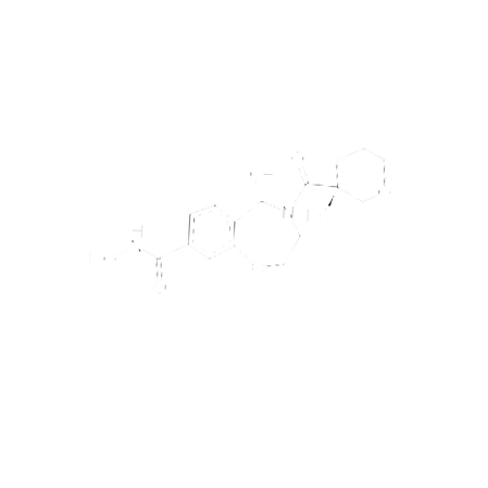 C[C@H]1c2ccc(C(=O)NO)cc2OCCN1C(=O)[C@]1(C)CCCOC1